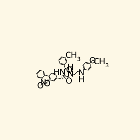 COc1ccc(NCCNC(=O)[C@H](Cc2ccc(-c3ccccc3[N+](=O)[O-])cc2)NC(=O)c2cccc(C)c2)cc1